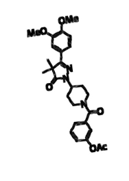 COc1ccc(C2=NN(C3CCN(C(=O)c4cccc(OC(C)=O)c4)CC3)C(=O)C2(C)C)cc1OC